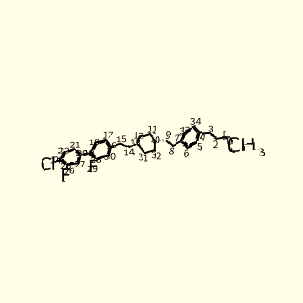 CCCCc1ccc(CC[C@H]2CC[C@H](CCc3ccc(-c4ccc(Cl)c(F)c4)c(F)c3)CC2)cc1